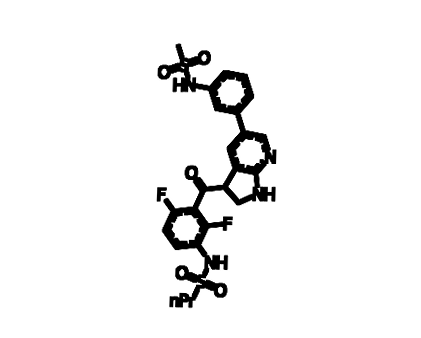 CCCS(=O)(=O)Nc1ccc(F)c(C(=O)C2CNc3ncc(-c4cccc(NS(C)(=O)=O)c4)cc32)c1F